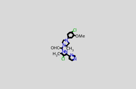 COc1cc(N2CCN(C(C=O)n3nc(-c4ccncn4)c(Cl)c3C)[C@@H](C)C2)ccc1Cl